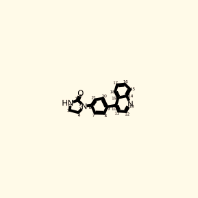 O=C1NCCN1c1ccc(-c2ccnc3ccccc23)cc1